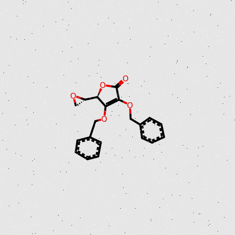 O=C1O[C@H]([C@@H]2CO2)C(OCc2ccccc2)=C1OCc1ccccc1